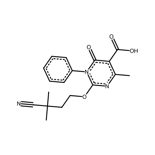 Cc1nc(OCCC(C)(C)C#N)n(-c2ccccc2)c(=O)c1C(=O)O